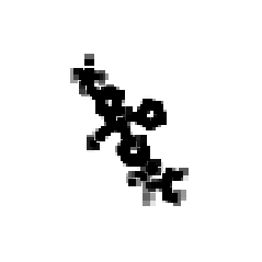 N#Cc1c(-c2ccc(S(=O)(=O)NC(CF)CF)cn2)n(C2CCCC2)c2ccc(OC(F)(F)F)cc12